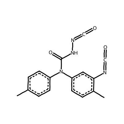 Cc1ccc(N(C(=O)NN=C=O)c2ccc(C)c(N=C=O)c2)cc1